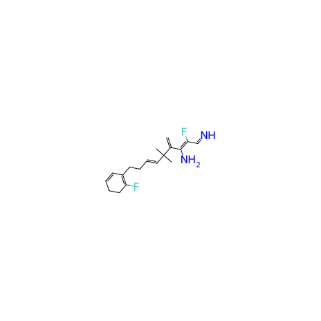 C=C(/C(N)=C(\F)C=N)C(C)(C)/C=C/CCC1=C(F)CCC=C1